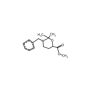 COC(=O)C1CCN(Cc2ccccc2)C(C)(C)O1